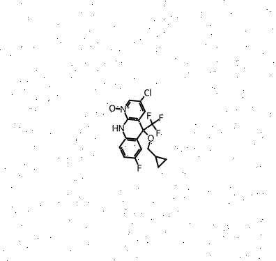 [O-][n+]1cc(Cl)cc2c1Nc1ccc(F)cc1C2(OCC1CC1)C(F)(F)F